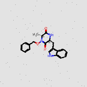 C[C@@H]1C(=O)N[C@@H](Cc2c[nH]c3ccccc23)C(=O)N1OCc1ccccc1